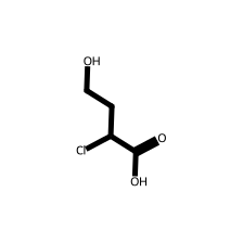 O=C(O)C(Cl)CCO